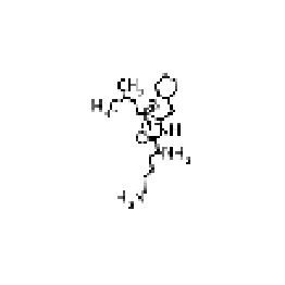 CC(C)CCP(=O)(O)C(CC1CCCCC1)NC(=O)[C@@H](N)CCCCN